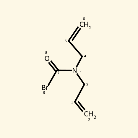 C=CCN(CC=C)C(=O)Br